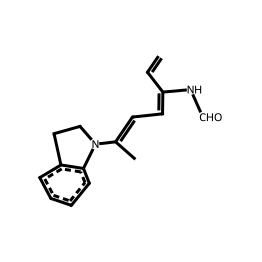 C=C/C(=C\C=C(/C)N1CCc2ccccc21)NC=O